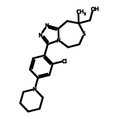 CC1(CO)Cc2nnc(-c3ccc(N4CCCCC4)cc3Cl)n2CCS1